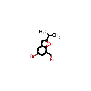 CC(C)c1cc2cc(Br)cc(CBr)c2o1